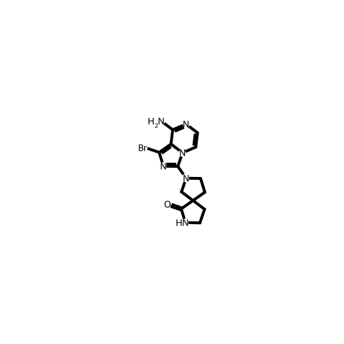 Nc1nccn2c(N3CCC4(CCNC4=O)C3)nc(Br)c12